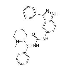 CN1CCCC[C@@H]1[C@H](NC(=O)Nc1ccc2[nH]nc(-c3cccnc3)c2c1)c1ccccc1